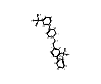 FC(F)(F)c1cccc(C2=CCN(CCc3ccc(-c4ccccc4)c(C(F)(F)F)c3)CC2)c1